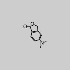 CN(C)c1ccc2c(c1)COC2=O